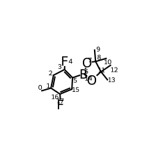 Cc1cc(F)c(B2OC(C)(C)C(C)(C)O2)cc1F